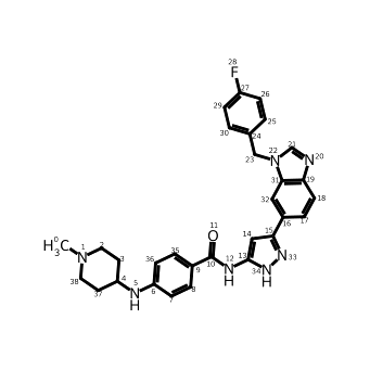 CN1CCC(Nc2ccc(C(=O)Nc3cc(-c4ccc5ncn(Cc6ccc(F)cc6)c5c4)n[nH]3)cc2)CC1